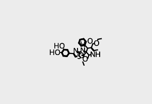 CCOC(=O)C1=C(C)NC(C)C(Nc2nc(-c3ccc(O)c(O)c3)cs2)(C(=O)OCC)C1c1ccccc1